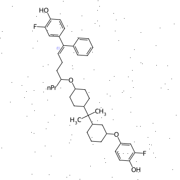 CCCC(CC/C=C(\c1ccccc1)c1ccc(O)c(F)c1)OC1CCC(C(C)(C)C2CCCC(Oc3ccc(O)c(F)c3)C2)CC1